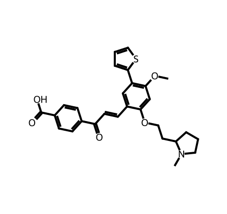 COc1cc(OCCC2CCCN2C)c(C=CC(=O)c2ccc(C(=O)O)cc2)cc1-c1cccs1